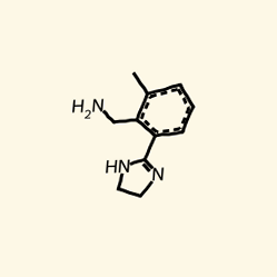 Cc1cccc(C2=NCCN2)c1CN